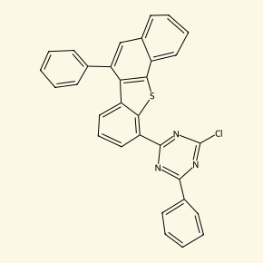 Clc1nc(-c2ccccc2)nc(-c2cccc3c2sc2c4ccccc4cc(-c4ccccc4)c32)n1